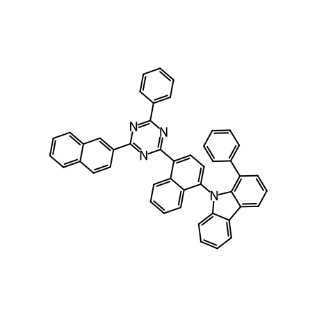 c1ccc(-c2nc(-c3ccc4ccccc4c3)nc(-c3ccc(-n4c5ccccc5c5cccc(-c6ccccc6)c54)c4ccccc34)n2)cc1